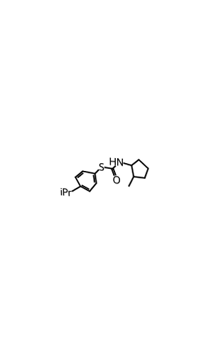 CC(C)c1ccc(SC(=O)NC2CCCC2C)cc1